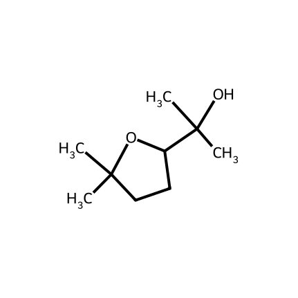 CC1(C)CCC(C(C)(C)O)O1